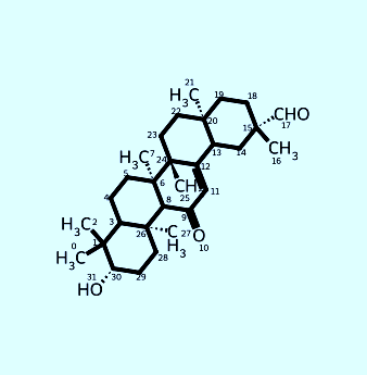 CC1(C)C2CC[C@]3(C)C(C(=O)C=C4C5C[C@@](C)(C=O)CC[C@]5(C)CC[C@]43C)[C@@]2(C)CC[C@@H]1O